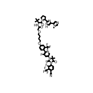 Cn1cncc1-c1c[nH]c(C2CCCN2C(=O)[C@@H](NC(=O)COCCCCOc2ccc(-c3ncc(N4C(=S)N(c5ccc(C#N)c(C(F)(F)F)c5F)C(=O)C4(C)C)cc3F)c(C(F)(F)F)c2)C(C)(C)C)n1